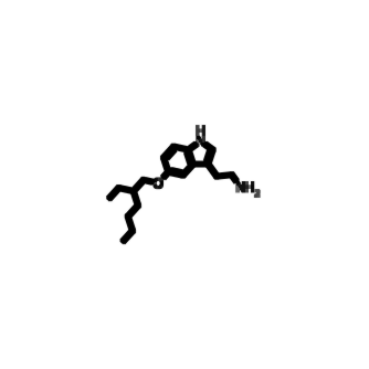 CCCCC(CC)COc1ccc2[nH]cc(CCN)c2c1